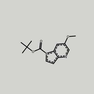 COc1cnc2ccn(C(=O)OC(C)(C)C)c2c1